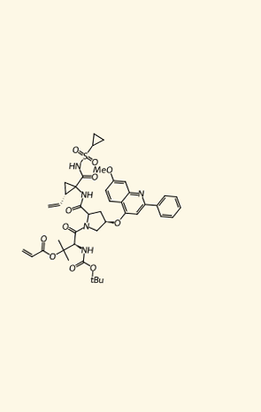 C=CC(=O)OC(C)(C)[C@H](NC(=O)OC(C)(C)C)C(=O)N1C[C@H](Oc2cc(-c3ccccc3)nc3cc(OC)ccc23)CC1C(=O)NC1(C(=O)NS(=O)(=O)C2CC2)C[C@H]1C=C